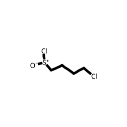 [O-][S+](Cl)CCCCCl